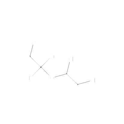 [O]CC(F)(Br)OC(Cl)CCl